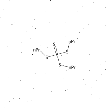 CCCSP(=S)(SCCC)SCCC